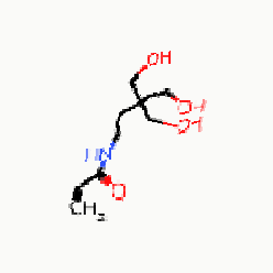 C=CC(=O)NCCC(CO)(CO)CO